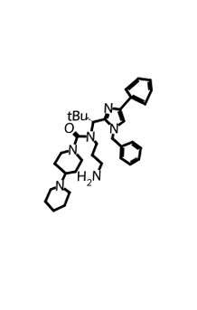 CC(C)(C)[C@H](c1nc(-c2ccccc2)cn1Cc1ccccc1)N(CCCN)C(=O)N1CCC(N2CCCCC2)CC1